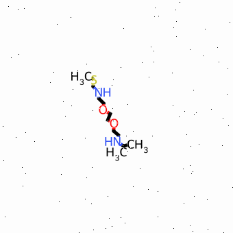 CSCNCCOCCOCCNC(C)C